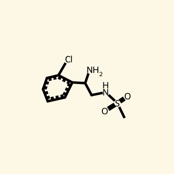 CS(=O)(=O)NCC(N)c1ccccc1Cl